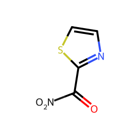 O=C(c1nccs1)[N+](=O)[O-]